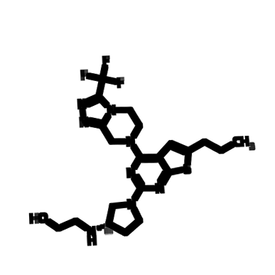 CCCc1cc2c(N3CCn4c(nnc4C(F)(F)F)C3)nc(N3CC[C@H](NCCO)C3)nc2s1